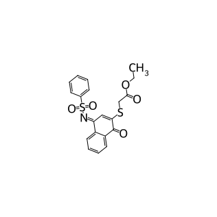 CCOC(=O)CSC1=CC(=NS(=O)(=O)c2ccccc2)c2ccccc2C1=O